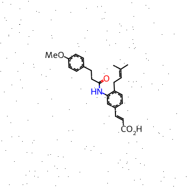 COc1ccc(CCC(=O)Nc2cc(/C=C/C(=O)O)ccc2CC=C(C)C)cc1